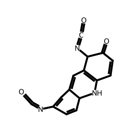 O=C=NC1=CC2=CC3=C(C=CC(=O)C3N=C=O)NC2C=C1